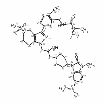 CN(C)C(=O)NCc1cc(-c2nn(CC(O)CN3CCC(n4c(=O)n(C)c5ccc(N(C)C)nc54)CC3)c3c2CN(S(C)(=O)=O)CC3)ccc1C(F)(F)F